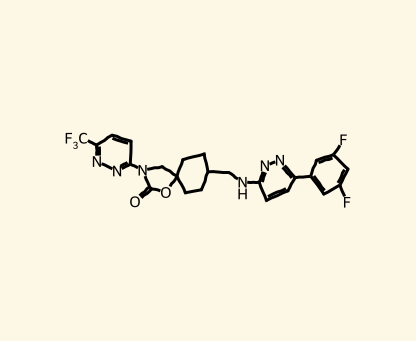 O=C1OC2(CCC(CNc3ccc(-c4cc(F)cc(F)c4)nn3)CC2)CN1c1ccc(C(F)(F)F)nn1